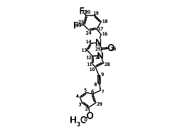 COc1cccc(CC#Cc2cc3ccn(Cc4ccc(F)c(F)c4)c(=O)n3c2)c1